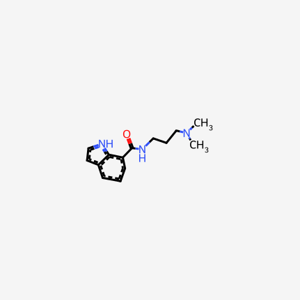 CN(C)CCCNC(=O)c1cccc2cc[nH]c12